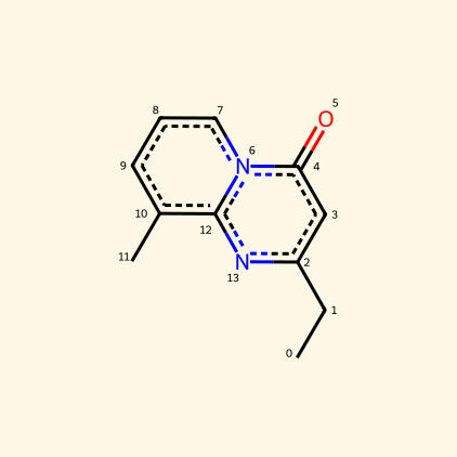 CCc1cc(=O)n2cccc(C)c2n1